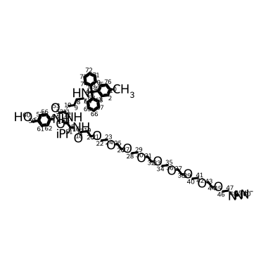 Cc1ccc(C(NCCCC[C@H](NC(=O)[C@@H](NC(=O)CCOCCOCCOCCOCCOCCOCCOCCOCCOCCN=[N+]=[N-])C(C)C)C(=O)Nc2ccc(CO)cc2)(c2ccccc2)c2ccccc2)cc1